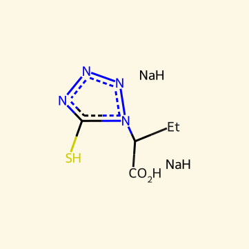 CCC(C(=O)O)n1nnnc1S.[NaH].[NaH]